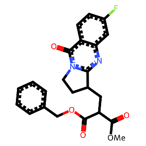 COC(=O)C(CC1CCn2c1nc1cc(F)ccc1c2=O)C(=O)OCc1ccccc1